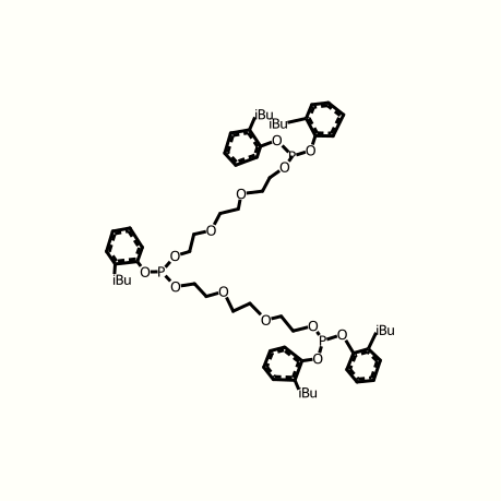 CCC(C)c1ccccc1OP(OCCOCCOCCOP(Oc1ccccc1C(C)CC)Oc1ccccc1C(C)CC)OCCOCCOCCOP(Oc1ccccc1C(C)CC)Oc1ccccc1C(C)CC